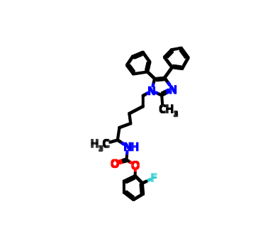 Cc1nc(-c2ccccc2)c(-c2ccccc2)n1CCCCCC(C)NC(=O)Oc1ccccc1F